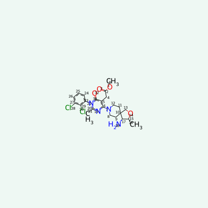 COC(=O)Cc1c(N2CCC3(CC2)CO[C@@H](C)[C@H]3N)nc(C)n(-c2cccc(Cl)c2Cl)c1=O